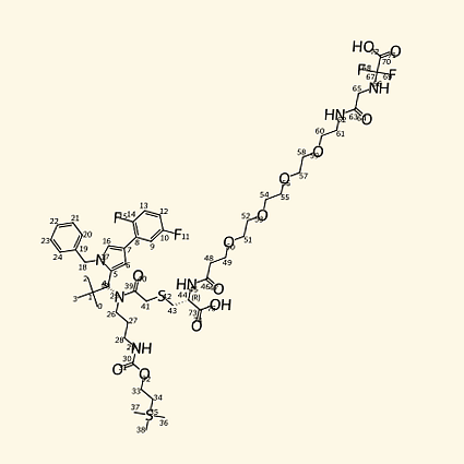 CC(C)(C)[C@H](c1cc(-c2cc(F)ccc2F)cn1Cc1ccccc1)N(CCCNC(=O)OCCS(C)(C)C)C(=O)CSC[C@H](NC(=O)CCOCCOCCOCCOCCNC(=O)CNC(F)(F)C(=O)O)C(=O)O